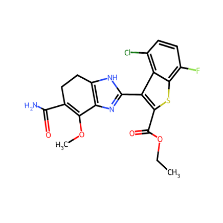 CCOC(=O)c1sc2c(F)ccc(Cl)c2c1-c1nc2c([nH]1)CCC(C(N)=O)=C2OC